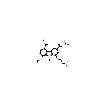 CCOc1ccc(C(=O)NN)c2c3cc(C(=O)OC(C)C)cc(CCCN(C)C)c3n(C)c12